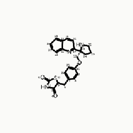 O=C1NC(=O)C(Cc2ccc(OC[C@@]3(c4ccc5ccccc5n4)CCCN3)cc2)S1